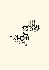 Cc1cc2nccc(Sc3ccc(NC(=O)Nc4nccs4)s3)c2cc1C(N)=O